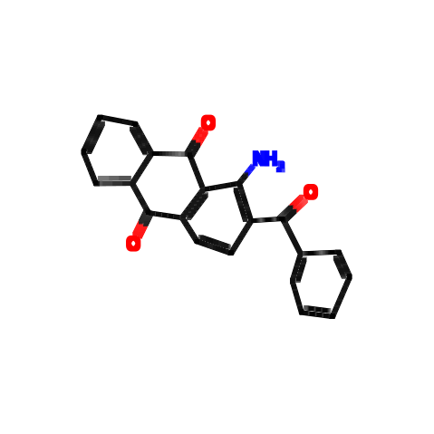 Nc1c(C(=O)c2ccccc2)ccc2c1C(=O)c1ccccc1C2=O